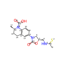 CC(=S)NC[C@@H]1CN(c2ccc3c(c2)CC[C@@H](C)N3C(=O)O)C(=O)O1